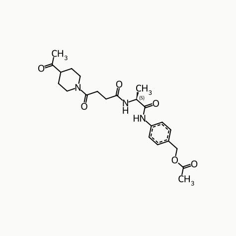 CC(=O)OCc1ccc(NC(=O)[C@H](C)NC(=O)CCC(=O)N2CCC(C(C)=O)CC2)cc1